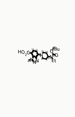 CCN(C(=O)OC(C)(C)C)C1CCN(c2ccc(C(=O)O)c3c2nnn3C)CC1